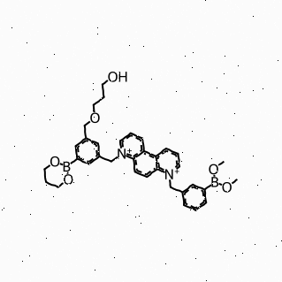 COB(OC)c1cccc(C[n+]2cccc3c4ccc[n+](Cc5cc(COCCCO)cc(B6OCCCO6)c5)c4ccc32)c1